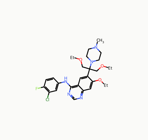 CCOCC(COCC)(c1cc2c(Nc3ccc(F)c(Cl)c3)ncnc2cc1OCC)N1CCN(C)CC1